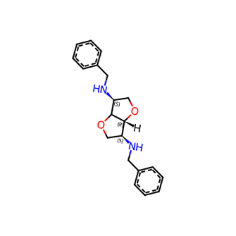 c1ccc(CN[C@H]2CO[C@H]3C2OC[C@@H]3NCc2ccccc2)cc1